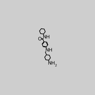 NC1CCC(CNc2ccc(C(=O)NC3CCCCC3)cc2)CC1